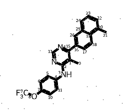 Cc1c(Nc2ccc(OC(F)(F)F)cc2)ncnc1-c1ccc2c(C)cccc2c1